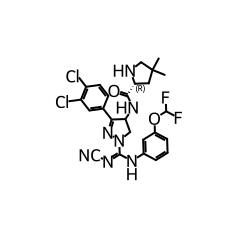 CC1(C)CN[C@@H](C(=O)NC2CN(C(=NC#N)Nc3cccc(OC(F)F)c3)N=C2c2ccc(Cl)c(Cl)c2)C1